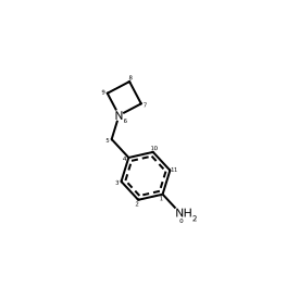 Nc1ccc(CN2CCC2)cc1